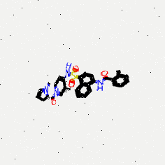 Cc1ccccc1C(=O)Nc1ccc(S(=O)(=O)N[C@@H]2CCN(C(=O)[C@@H]3CCCN3C)C[C@@H]2C)c2ccccc12